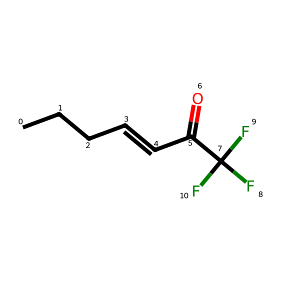 CCCC=CC(=O)C(F)(F)F